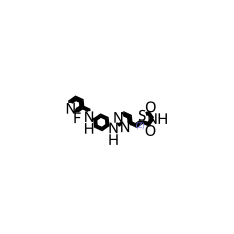 O=C1NC(=O)/C(=C/c2ccnc(N[C@H]3CC[C@H](NCc4cccnc4F)CC3)n2)S1